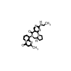 CCNc1ncc2c(n1)N1CCC[C@H]1CN(c1cccn3c(=O)cc(C)nc13)C2=O